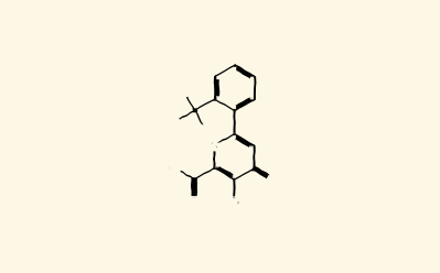 O=C(O)c1[nH]c(-c2ccccc2C(F)(F)F)cc(=O)c1O